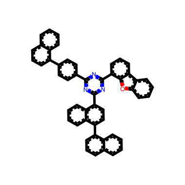 c1ccc2c(-c3ccc(-c4nc(-c5ccc(-c6cccc7ccccc67)c6ccccc56)nc(-c5cccc6c5oc5ccccc56)n4)cc3)cccc2c1